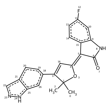 CC1(C)OC(=C2C(=O)Nc3cc(F)ccc32)C=C1c1ccc2cn[nH]c2c1